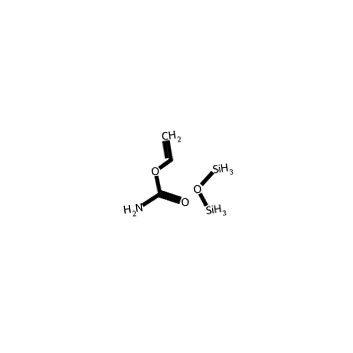 C=COC(N)=O.[SiH3]O[SiH3]